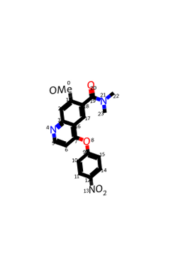 COc1cc2nccc(Oc3ccc([N+](=O)[O-])cc3)c2cc1C(=O)N(C)C